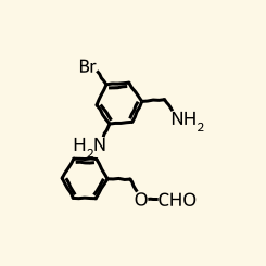 NCc1cc(N)cc(Br)c1.O=COCc1ccccc1